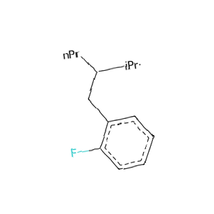 CCCC(Cc1ccccc1F)[C](C)C